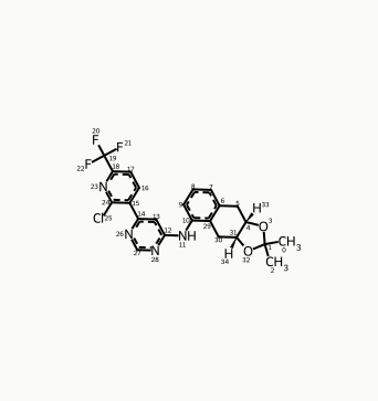 CC1(C)O[C@H]2Cc3cccc(Nc4cc(-c5ccc(C(F)(F)F)nc5Cl)ncn4)c3C[C@H]2O1